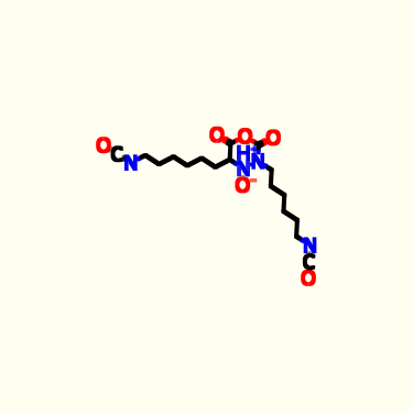 O=C=NCCCCCCC1C(=O)OC(=O)N(CCCCCCN=C=O)[NH+]1[O-]